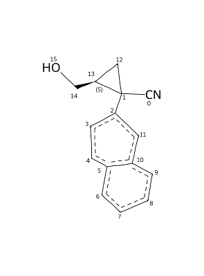 N#CC1(c2ccc3ccccc3c2)C[C@@H]1CO